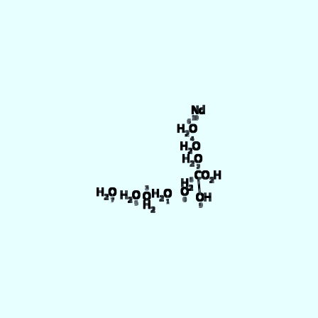 O.O.O.O.O.O.O.O.O=C(O)O.[Nd]